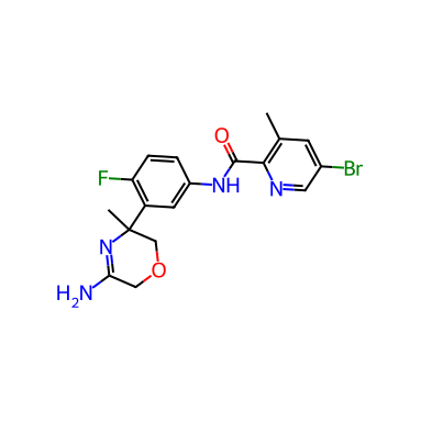 Cc1cc(Br)cnc1C(=O)Nc1ccc(F)c(C2(C)COCC(N)=N2)c1